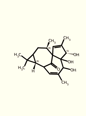 CC1=CC2C(=O)C3(C=C(C)[C@H](O)C3(O)C1O)[C@H](C)CC1[C@H]2C1(C)C